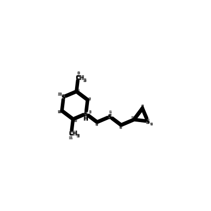 CC1C[SH](CSCC2CS2)C(C)CS1